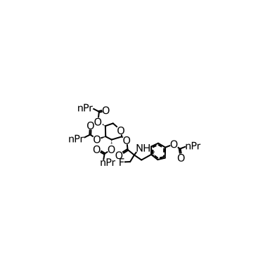 CCCC(=O)Oc1ccc(CC(N)(CF)C(=O)O[C@@H]2OC[C@@H](OC(=O)CCC)[C@H](OC(=O)CCC)[C@H]2OC(=O)CCC)cc1